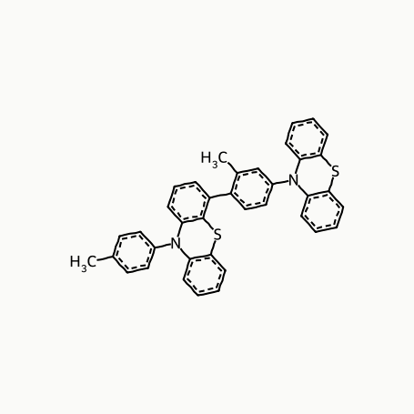 Cc1ccc(N2c3ccccc3Sc3c(-c4ccc(N5c6ccccc6Sc6ccccc65)cc4C)cccc32)cc1